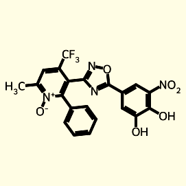 Cc1cc(C(F)(F)F)c(-c2noc(-c3cc(O)c(O)c([N+](=O)[O-])c3)n2)c(-c2ccccc2)[n+]1[O-]